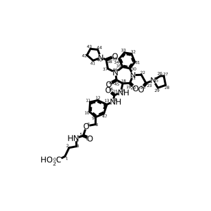 O=C(O)CCCNC(=O)OCc1cccc(NC(=O)NC2C(=O)N(CC(=O)N3CCCC3)c3ccccc3N(CC(=O)N3CCCC3)C2=O)c1